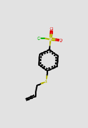 C=CCSc1ccc(S(=O)(=O)Cl)cc1